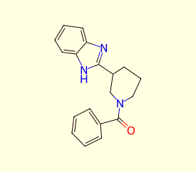 O=C(c1ccccc1)N1CCCC(c2nc3ccccc3[nH]2)C1